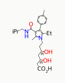 CCc1c(-c2ccc(C)cc2)c(C(=O)NCC(C)C)c(C)n1CC[C@@H](O)C[C@@H](O)CC(=O)O